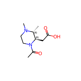 CC(=O)N1CCN(C)[C@H](C)[C@H]1CC(=O)O